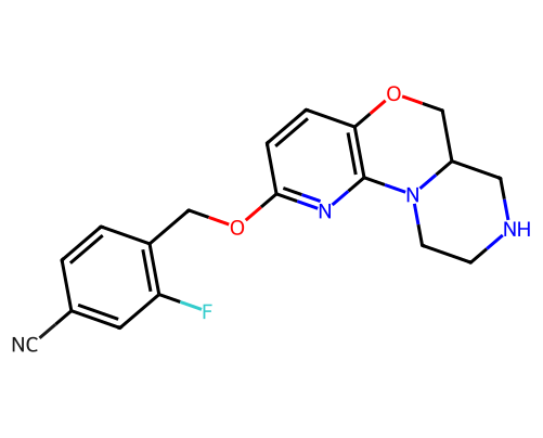 N#Cc1ccc(COc2ccc3c(n2)N2CCNCC2CO3)c(F)c1